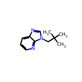 CC(C)(C)Cn1cnc2cccnc21